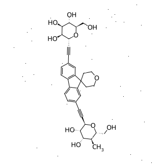 C[C@H]1[C@H](O)[C@H](O)[C@@H](C#Cc2ccc3c(c2)C2(CCOCC2)c2cc(C#C[C@H]4O[C@H](CO)[C@@H](O)[C@H](O)[C@@H]4O)ccc2-3)O[C@@H]1CO